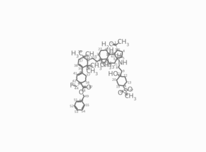 C=C(C)[C@@H]1CC[C@]2(NCC[C@]3(O)CC[C@@H](S(C)(=O)=O)CC3)CC[C@]3(C)[C@H](CCC[C@@]3(C)CC[C@@H]3C(C)(C)CC=C(C4=CC[C@](CF)(C(=O)OCc5ccccc5)CC4)C3(C)C)[C@@H]12